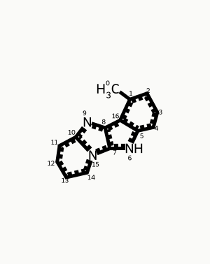 Cc1cccc2[nH]c3c(nc4ccccn43)c12